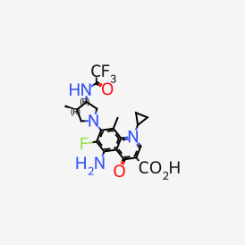 Cc1c(N2C[C@@H](C)[C@@H](NC(=O)C(F)(F)F)C2)c(F)c(N)c2c(=O)c(C(=O)O)cn(C3CC3)c12